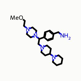 COCCN1CCN(C(CN2CCC(N3CCCCC3)CC2)c2ccc(CN)cc2)CC1